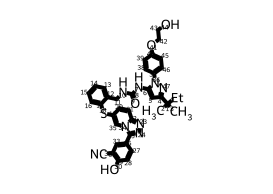 CCC(C)(C)c1cc(NC(=O)NCc2ccccc2Sc2ccc3nnc(-c4ccc(O)c(C#N)c4)n3c2)n(-c2ccc(OCCO)cc2)n1